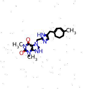 CC1=CC=C(Cc2cnc(CN3CNc4c3c(=O)n(C)c(=O)n4C)[nH]2)CCC1